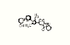 Cc1cc(C(=O)CN2C(=O)NC3(CCCCC3)C2=O)c(C)n1-c1cccc(N2CCCC(O)C2)n1